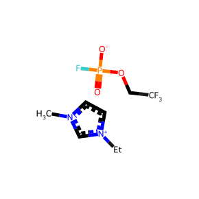 CC[n+]1ccn(C)c1.O=P([O-])(F)OCC(F)(F)F